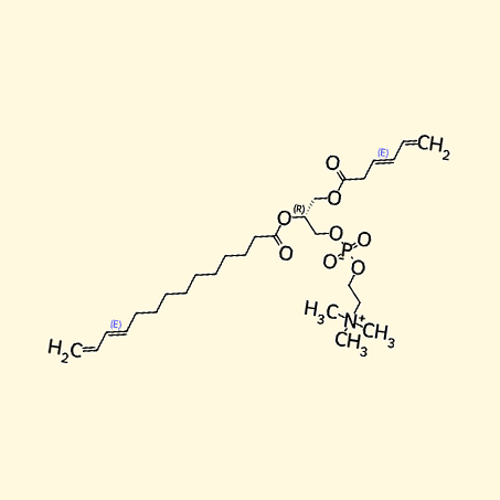 C=C/C=C/CCCCCCCCCC(=O)O[C@H](COC(=O)C/C=C/C=C)COP(=O)([O-])OCC[N+](C)(C)C